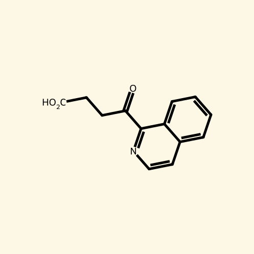 O=C(O)CCC(=O)c1nccc2ccccc12